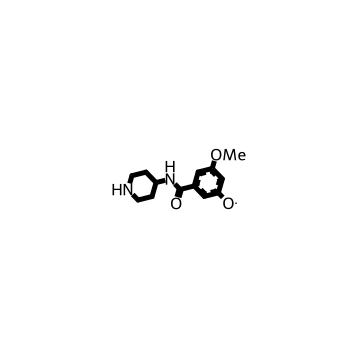 COc1cc([O])cc(C(=O)NC2CCNCC2)c1